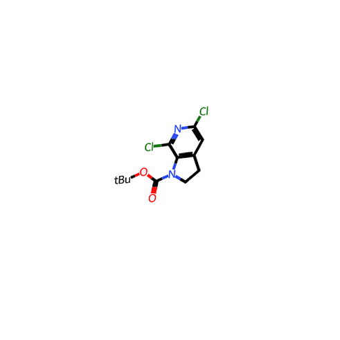 CC(C)(C)OC(=O)N1CCc2cc(Cl)nc(Cl)c21